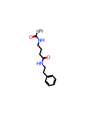 CCCC(=O)NCCCC(=O)NCCc1ccccc1